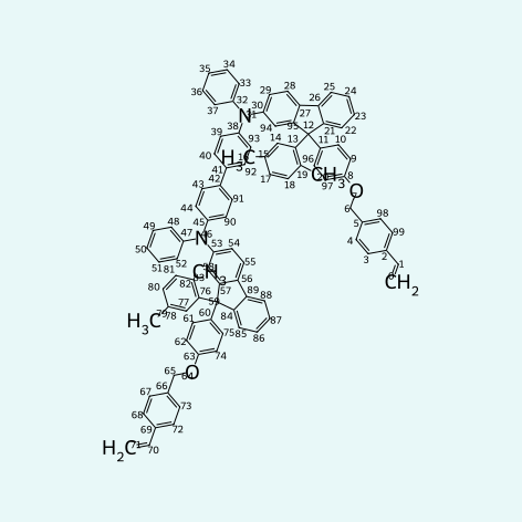 C=Cc1ccc(COc2ccc(C3(c4cc(C)ccc4C)c4ccccc4-c4ccc(N(c5ccccc5)c5ccc(-c6ccc(N(c7ccccc7)c7ccc8c(c7)C(c7ccc(OCc9ccc(C=C)cc9)cc7)(c7cc(C)ccc7C)c7ccccc7-8)cc6)cc5)cc43)cc2)cc1